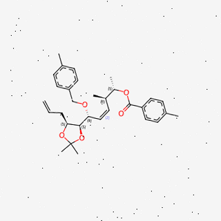 C=CC[C@@H]1OC(C)(C)O[C@@H]1[C@@H](/C=C\[C@@H](C)[C@H](C)OC(=O)c1ccc(C)cc1)OCc1ccc(C)cc1